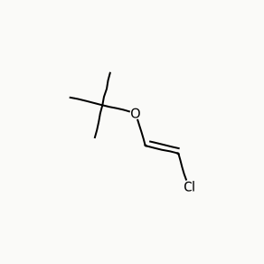 CC(C)(C)OC=CCl